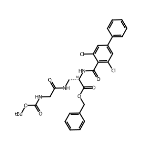 CC(C)(C)OC(=O)NCC(=O)NC[C@H](NC(=O)c1c(Cl)cc(-c2ccccc2)cc1Cl)C(=O)OCc1ccccc1